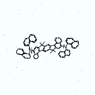 CC1(C)c2cc3c(cc2-c2c1cc(N(c1cccc4ccccc14)c1cccc4ccccc14)c1ccccc21)C(C)(C)c1cc(N(c2cccc4ccccc24)c2cccc4ccccc24)c2ccccc2c1-3